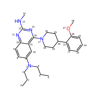 CCCN(CCC)c1ccc2nc(NC)nc(N3CCC(c4ccccc4OC)CC3)c2c1